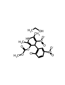 CCO.COC(=O)OC1=C(C)NC(C)=C([N+](=O)[O-])C1c1cc([N+](=O)[O-])ccc1Cl